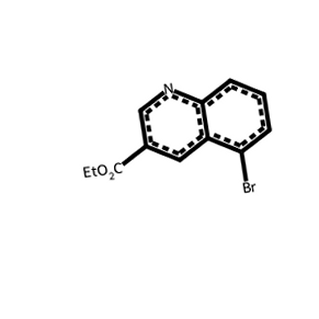 CCOC(=O)c1cnc2cccc(Br)c2c1